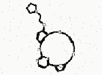 C1=CCOCc2cc(ccc2OCCN2CCCC2)Nc2nccc(n2)-c2ccc(o2)COC1